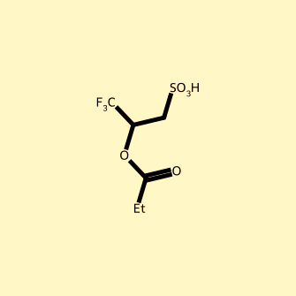 CCC(=O)OC(CS(=O)(=O)O)C(F)(F)F